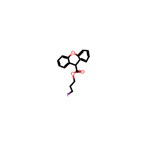 O=C(OCCCI)C1c2ccccc2Oc2ccccc21